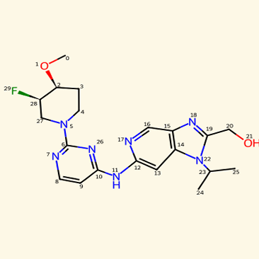 CO[C@H]1CCN(c2nccc(Nc3cc4c(cn3)nc(CO)n4C(C)C)n2)C[C@H]1F